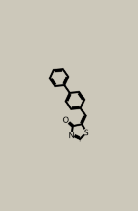 O=C1N=[C]SC1=Cc1ccc(-c2ccccc2)cc1